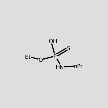 CCCNP(O)(=S)OCC